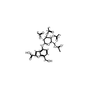 CC(=O)OC[C@H]1O[C@@H](Oc2ccc(CO)c3oc(C(=O)O)cc23)[C@H](OC(C)=O)[C@@H](OC(C)=O)[C@H]1OC(C)=O